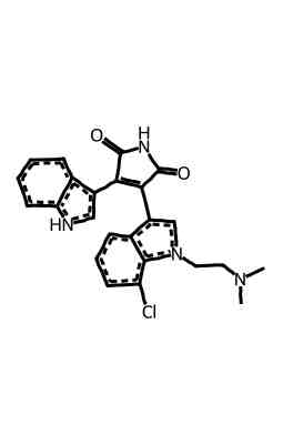 CN(C)CCn1cc(C2=C(c3c[nH]c4ccccc34)C(=O)NC2=O)c2cccc(Cl)c21